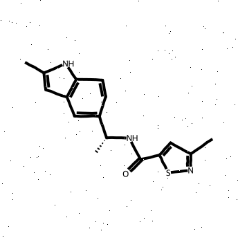 Cc1cc(C(=O)N[C@H](C)c2ccc3[nH]c(C)cc3c2)sn1